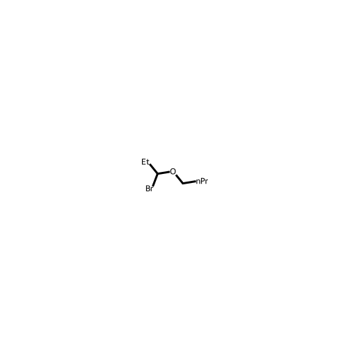 CCCCOC(Br)CC